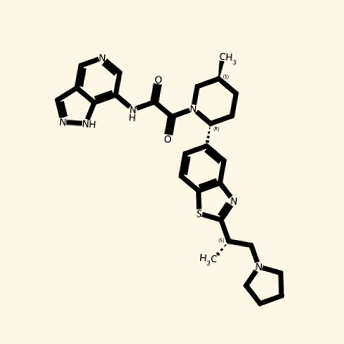 C[C@H]1CC[C@H](c2ccc3sc([C@@H](C)CN4CCCC4)nc3c2)N(C(=O)C(=O)Nc2cncc3cn[nH]c23)C1